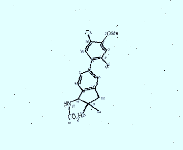 COc1cc(F)c(-c2ccc3c(c2)CC(C)(C)C3NC(=O)O)cc1F